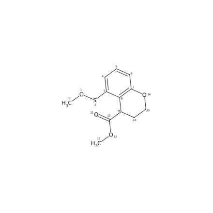 COSc1cccc2c1C(C(=O)OC)CCO2